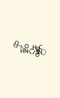 CC1CCCCN1S(=O)(=O)c1ccc(NC(=O)/C=C/c2ccco2)cc1